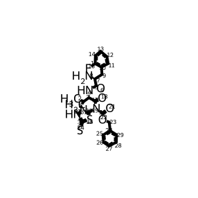 CC(C)[C@H](NC(=O)[C@@H](N)Cc1ccccc1F)C(=O)N(C(=O)OCc1ccccc1)c1n[nH]c(=S)s1